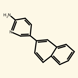 Nc1ccc(-c2ccc3ccccc3c2)cn1